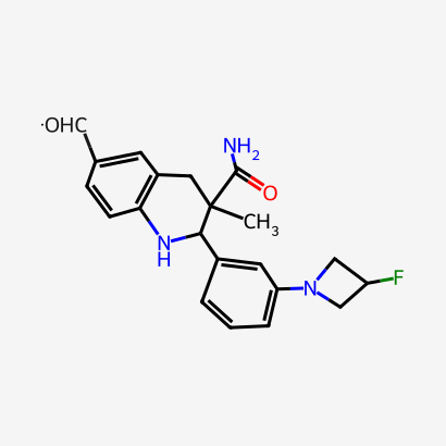 CC1(C(N)=O)Cc2cc([C]=O)ccc2NC1c1cccc(N2CC(F)C2)c1